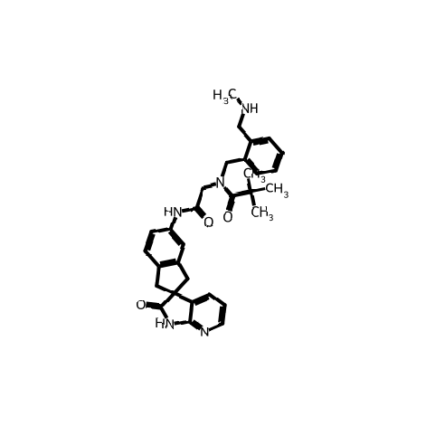 CNCc1ccccc1CN(CC(=O)Nc1ccc2c(c1)CC1(C2)C(=O)Nc2ncccc21)C(=O)C(C)(C)C